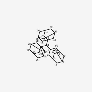 C1C2CC3CC1CC(C(C14CC5CC(CC(C5)C1)C4)C14CC5CC(CC(C5)C1)C4)(C2)C3